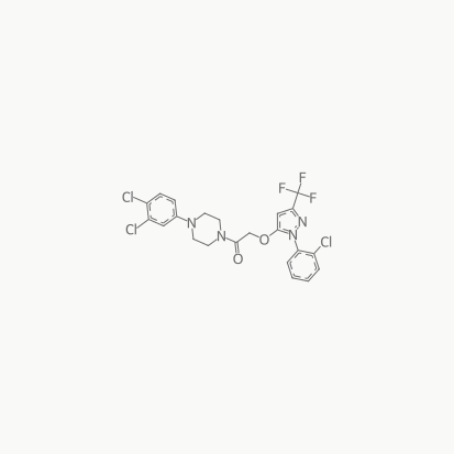 O=C(COc1cc(C(F)(F)F)nn1-c1ccccc1Cl)N1CCN(c2ccc(Cl)c(Cl)c2)CC1